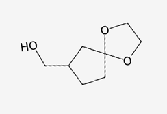 OCC1CCC2(C1)OCCO2